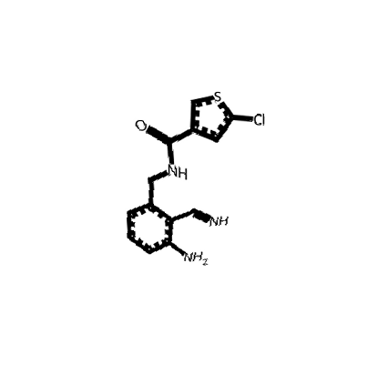 N=Cc1c(N)cccc1CNC(=O)c1csc(Cl)c1